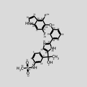 CC(O)(c1cccc(NS(C)(=O)=O)c1)c1cnc(-c2cccc(Oc3c(F)cc4[nH]ccc4c3F)c2)[nH]1